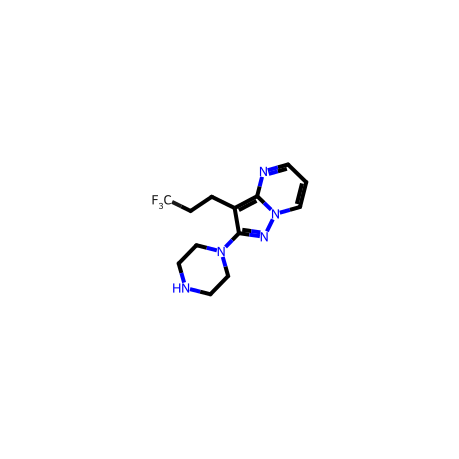 FC(F)(F)CCc1c(N2CCNCC2)nn2cccnc12